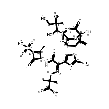 C=C1CCO[C@]2(C(O)C(C)(O)CO)NC(=O)[C@@]1(O)NC2=O.C[C@H]1[C@H](NC(=O)/C(=N\OC(C)(C)C(=O)O)c2csc(N)n2)C(=O)N1S(=O)(=O)O